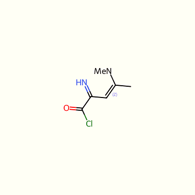 CN/C(C)=C\C(=N)C(=O)Cl